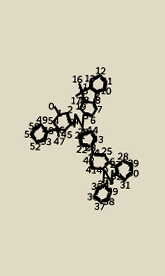 CC1C=C(N(C2=CC=C3c4ccccc4C(C)(C)C3C2)c2ccc(C3=CC4c5ccccc5N(c5ccccc5)C4C=C3)cc2)CC(C)(c2ccccc2)C1